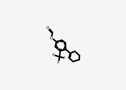 O=COc1ccc(C2=CCCCC2)c(C(F)(F)F)c1